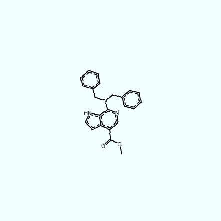 COC(=O)c1cnc(N(Cc2ccccc2)Cc2ccccc2)c2[nH]ccc12